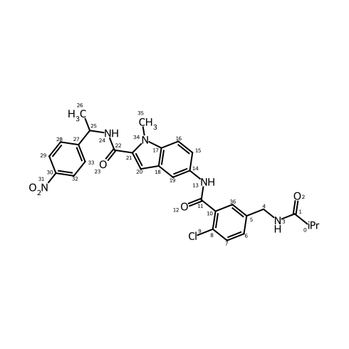 CC(C)C(=O)NCc1ccc(Cl)c(C(=O)Nc2ccc3c(c2)cc(C(=O)NC(C)c2ccc([N+](=O)[O-])cc2)n3C)c1